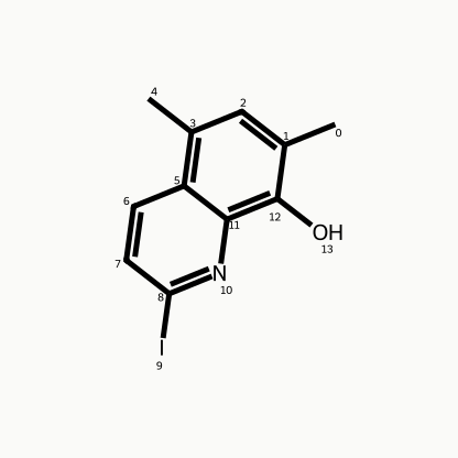 Cc1cc(C)c2ccc(I)nc2c1O